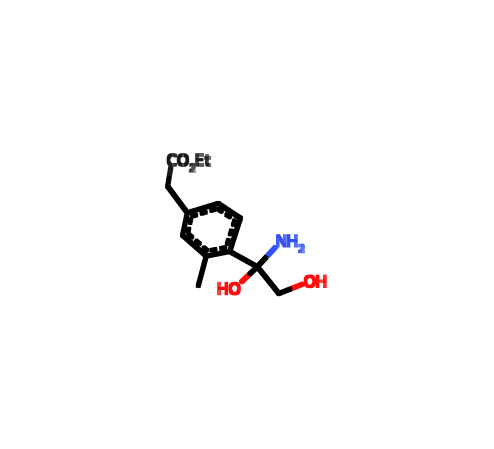 CCOC(=O)Cc1ccc(C(N)(O)CO)c(C)c1